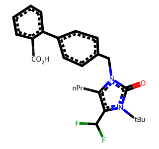 CCCc1c(C(F)F)n(C(C)(C)C)c(=O)n1Cc1ccc(-c2ccccc2C(=O)O)cc1